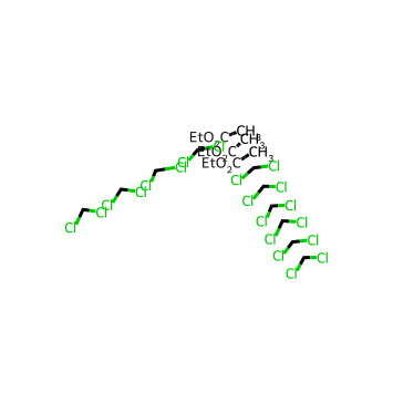 CCOC(C)=O.CCOC(C)=O.CCOC(C)=O.ClCCl.ClCCl.ClCCl.ClCCl.ClCCl.ClCCl.ClCCl.ClCCl.ClCCl.ClCCl